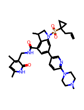 C=CCC1(S(=O)(=O)N2CC(C)c3c(C(=O)NCc4c(C)cc(C)[nH]c4=O)cc(-c4ccc(N5CCN(C)CC5)nc4)cc32)CC1